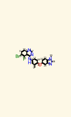 Cc1cc(Nc2ncnc3ccc(Br)c(F)c23)ccc1Oc1ccc2c(c1)ncn2C